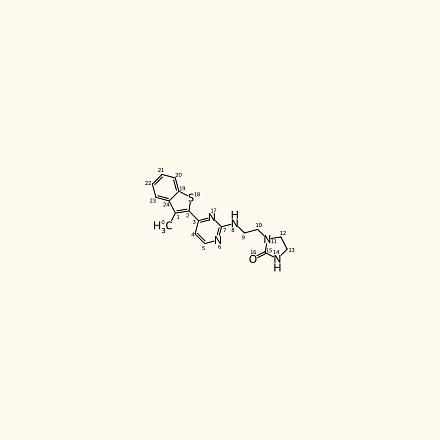 Cc1c(-c2ccnc(NCCN3CCNC3=O)n2)sc2ccccc12